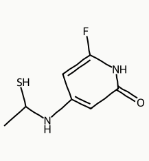 CC(S)Nc1cc(F)[nH]c(=O)c1